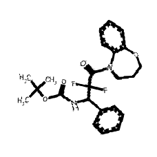 CC(C)(C)OC(=O)NC(c1ccccc1)C(F)(F)C(=O)N1CCCOc2ccccc21